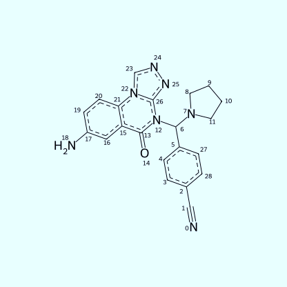 N#Cc1ccc(C(N2CCCC2)n2c(=O)c3cc(N)ccc3n3cnnc23)cc1